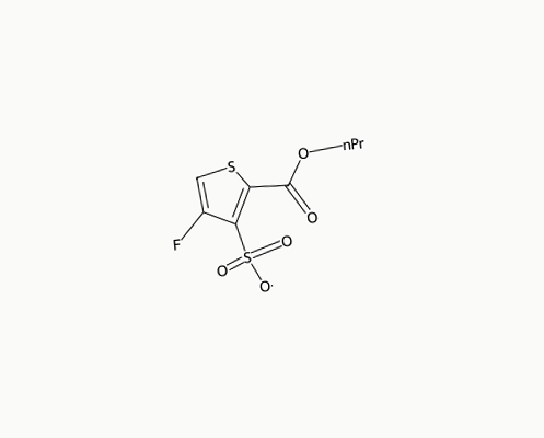 CCCOC(=O)c1scc(F)c1S([O])(=O)=O